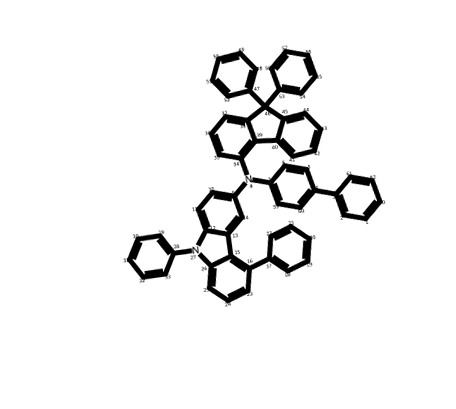 c1ccc(-c2ccc(N(c3ccc4c(c3)c3c(-c5ccccc5)cccc3n4-c3ccccc3)c3cccc4c3-c3ccccc3C4(c3ccccc3)c3ccccc3)cc2)cc1